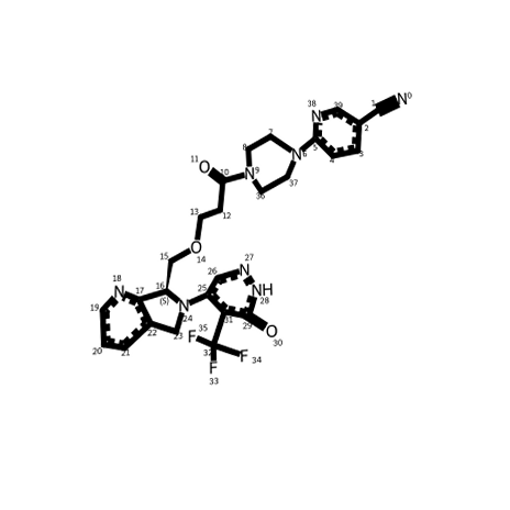 N#Cc1ccc(N2CCN(C(=O)CCOC[C@@H]3c4ncccc4CN3c3cn[nH]c(=O)c3C(F)(F)F)CC2)nc1